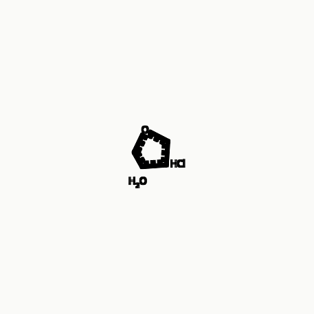 Cl.O.c1ccoc1